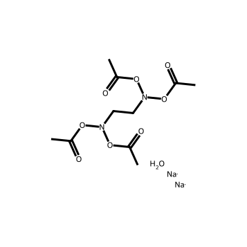 CC(=O)ON(CCN(OC(C)=O)OC(C)=O)OC(C)=O.O.[Na].[Na]